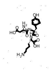 NCCCC[C@H](NC(=O)[C@H](Cc1ccc(O)cc1)NC(=O)[C@@H](N)CC(=O)O)C(=O)O